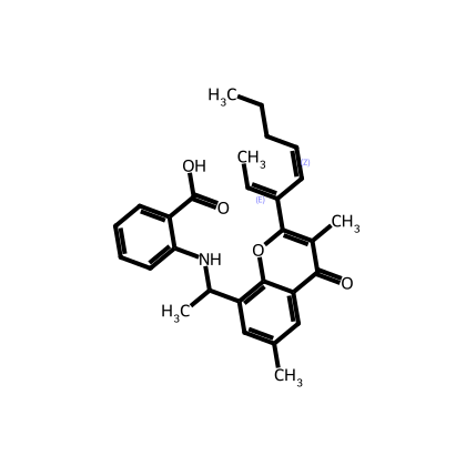 C/C=C(\C=C/CCC)c1oc2c(C(C)Nc3ccccc3C(=O)O)cc(C)cc2c(=O)c1C